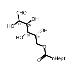 CCCCCCCC(=O)OC[C@@H](O)[C@H](O)[C@H](O)[C@@H](O)C=O